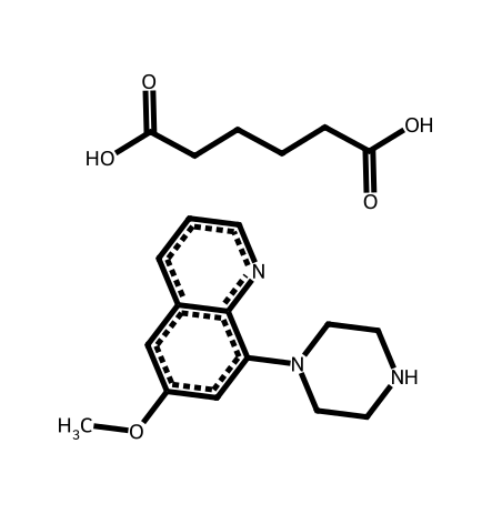 COc1cc(N2CCNCC2)c2ncccc2c1.O=C(O)CCCCC(=O)O